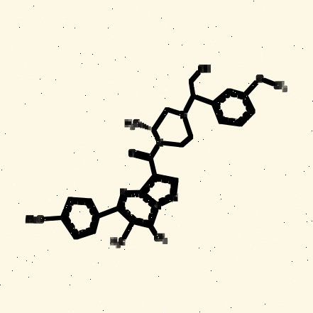 COc1ccc(-c2nc3c(C(=O)N4CCN(C(CO)c5cccc(OC(F)(F)F)c5)C[C@H]4C)cnn3c(C(F)(F)F)c2C)cc1